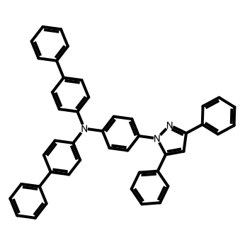 c1ccc(-c2ccc(N(c3ccc(-c4ccccc4)cc3)c3ccc(-n4nc(-c5ccccc5)cc4-c4ccccc4)cc3)cc2)cc1